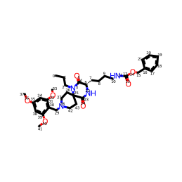 CCCN1C(=O)[C@H](CCCCNC(=O)OCc2ccccc2)NC(=O)C12CCN(Cc1c(OC)cc(OC)cc1OC)CC2